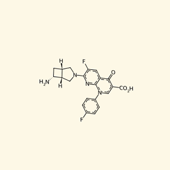 N[C@@H]1C[C@@H]2CN(c3nc4c(cc3F)c(=O)c(C(=O)O)cn4-c3ccc(F)cc3)C[C@@H]21